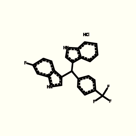 Cl.Fc1ccc2c([C](c3ccc(C(F)(F)F)cc3)c3c[nH]c4ccccc34)c[nH]c2c1